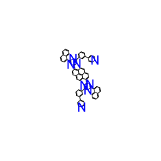 c1cc(-c2ccncc2)cc(-c2nc(-c3cccc4ccccc34)nc(-c3ccc4ccc5c(-c6nc(-c7cccc(-c8ccncc8)c7)nc(-c7cccc8ccccc78)n6)ccc6ccc3c4c65)n2)c1